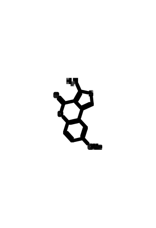 COc1ccc2oc(=O)c3c(N)scc3c2c1